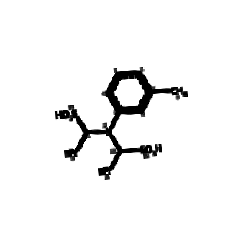 CCCC(N(c1cccc(C)c1)C(CCC)S(=O)(=O)O)S(=O)(=O)O